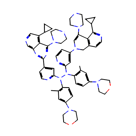 Cc1cc(N2CCOCC2)ccc1N(c1cc(-c2nc(N3CCNCC3)c3c(C4CC4)cncc3n2)ccn1)N(c1cc(N2C=C(N3CCNCC3)c3c(ccnc3C3CC3)C2)ccn1)c1ccc(N2CCOCC2)cc1C